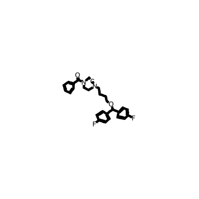 O=C(c1ccccc1)N1CCN(CCCCOC(c2ccc(F)cc2)c2ccc(F)cc2)CC1